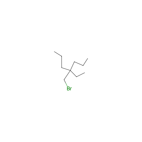 CCCC(CC)(CBr)CCC